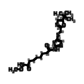 CONC(=O)CCCCCCC(=O)Nc1ncc(SCc2ncc(C(C)(C)C)o2)s1